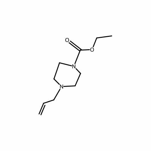 C=CCN1CCN(C(=O)OCC)CC1